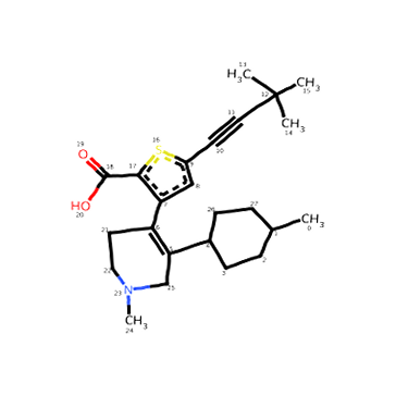 CC1CCC(C2=C(c3cc(C#CC(C)(C)C)sc3C(=O)O)CCN(C)C2)CC1